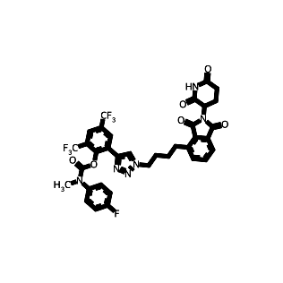 CN(C(=O)Oc1c(-c2cn(CCCCc3cccc4c3C(=O)N(C3CCC(=O)NC3=O)C4=O)nn2)cc(C(F)(F)F)cc1C(F)(F)F)c1ccc(F)cc1